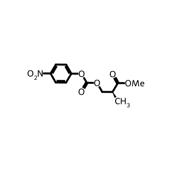 COC(=O)[C@@H](C)COC(=O)Oc1ccc([N+](=O)[O-])cc1